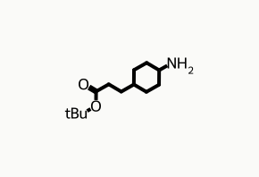 CC(C)(C)OC(=O)CCC1CCC(N)CC1